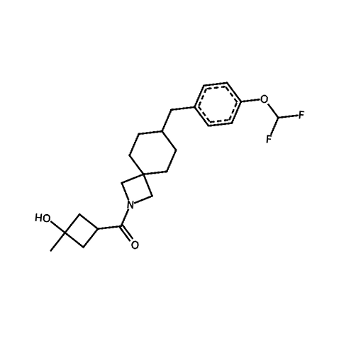 CC1(O)CC(C(=O)N2CC3(CCC(Cc4ccc(OC(F)F)cc4)CC3)C2)C1